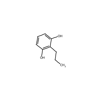 CCCc1c(O)[c]ccc1O